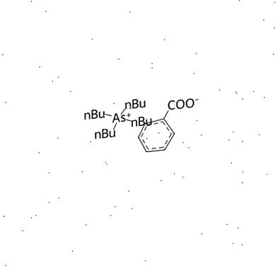 CCCC[As+](CCCC)(CCCC)CCCC.O=C([O-])c1ccccc1